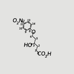 O=C(O)CCC(O)CCOc1ccc([N+](=O)[O-])cc1